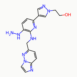 NNc1ccc(-c2cnn(CCO)c2)nc1NCc1ccc2nccn2n1